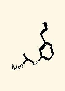 CC=Cc1cccc(OC(C)OC)c1